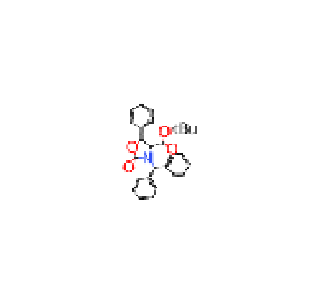 CC(C)(C)OC(=O)C1C(c2ccccc2)OC(=O)N1C(c1ccccc1)c1ccccc1